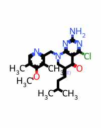 COc1c(C)cnc(CN2C/C(=C\CC(C)C)C(=O)c3c(Cl)nc(N)nc32)c1C